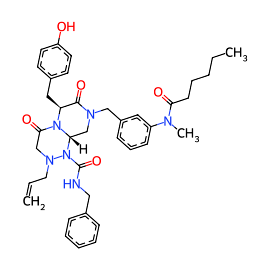 C=CCN1CC(=O)N2[C@@H](Cc3ccc(O)cc3)C(=O)N(Cc3cccc(N(C)C(=O)CCCCC)c3)C[C@@H]2N1C(=O)NCc1ccccc1